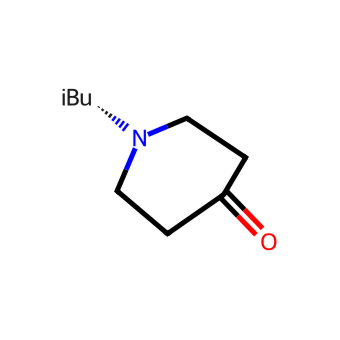 CC[C@@H](C)N1CCC(=O)CC1